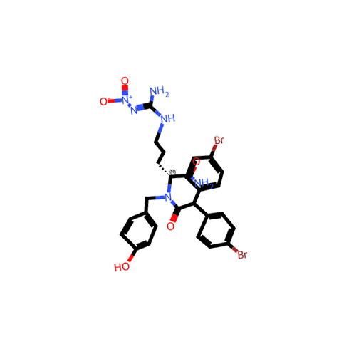 NC(=O)[C@@H](CCCNC(N)=N[N+](=O)[O-])N(Cc1ccc(O)cc1)C(=O)C(c1ccc(Br)cc1)c1ccc(Br)cc1